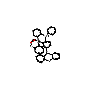 c1ccc([SiH]2c3ccccc3[Si]3(c4ccccc4Oc4ccccc43)c3cc(N4c5ccccc5Sc5ccccc54)ccc32)cc1